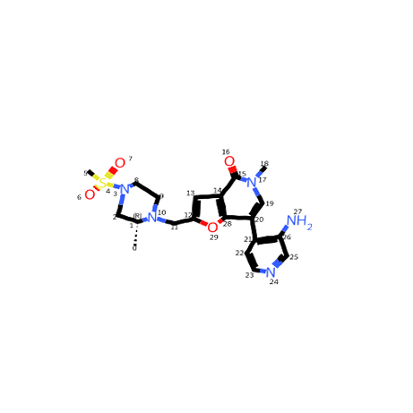 C[C@@H]1CN(S(C)(=O)=O)CCN1Cc1cc2c(=O)n(C)cc(-c3ccncc3N)c2o1